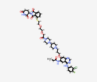 C=CC(=O)Nc1cc2c(Nc3ccc(F)c(Cl)c3)ncnc2cc1OCCCN1CCC(N2CCN(C(=O)COCCOCCSc3cccc4c3C(=O)N(C3CCC(=O)NC3=O)C4=O)CC2)CC1